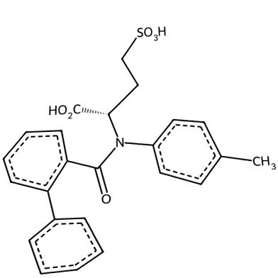 Cc1ccc(N(C(=O)c2ccccc2-c2ccccc2)[C@@H](CCS(=O)(=O)O)C(=O)O)cc1